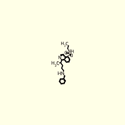 CCCNS(=O)(=O)c1cccc2c(C(C)CCCNCc3ccccc3)nccc12